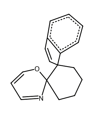 C1=COC2(CCCCC23C=Cc2ccccc23)N=C1